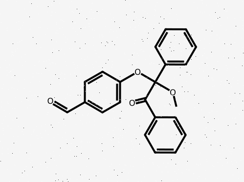 COC(Oc1ccc(C=O)cc1)(C(=O)c1ccccc1)c1ccccc1